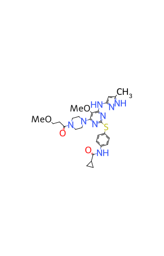 COCCC(=O)N1CCN(c2nc(Sc3ccc(NC(=O)C4CC4)cc3)nc(Nc3cc(C)[nH]n3)c2OC)CC1